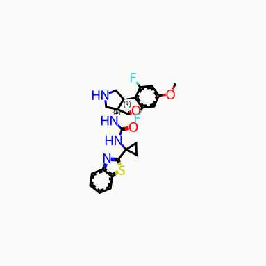 COc1cc(F)c([C@@H]2CNC[C@@]2(C=O)NC(=O)NC2(c3nc4ccccc4s3)CC2)c(F)c1